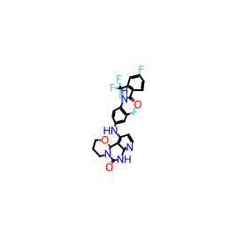 O=C(Nc1ccc(Nc2ccnc3c2C2OCCCN2C(=O)N3)cc1F)c1ccc(F)cc1C(F)(F)F